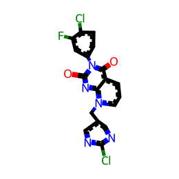 O=c1nc2n(Cc3cnc(Cl)nc3)cccc-2c(=O)n1-c1ccc(Cl)c(F)c1